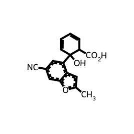 Cc1cc2c(C3(O)C=CC=CC3C(=O)O)cc(C#N)cc2o1